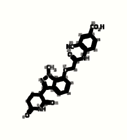 Cn1nc(C2CCC(=O)NC2=O)c2cccc(OCC(=O)Nc3ccc(C(=O)O)cc3C#N)c21